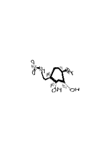 CC(C)[C@@H]1C[C@H](CN[SH](=O)=O)[C@@H](O)[C@H]1O